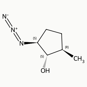 C[C@@H]1CC[C@H](N=[N+]=[N-])[C@H]1O